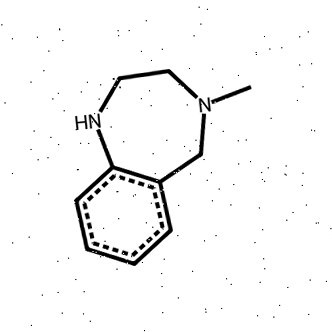 CN1C[CH]Nc2ccccc2C1